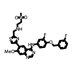 COc1cc2ncnc(Nc3ccc(OCc4cccc(F)c4)c(F)c3)c2cc1-c1csc(CNCCS(C)(=O)=O)n1